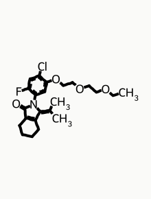 CCOCCOCCOc1cc(N2C(=O)C3=C(CCCC3)C2=C(C)C)c(F)cc1Cl